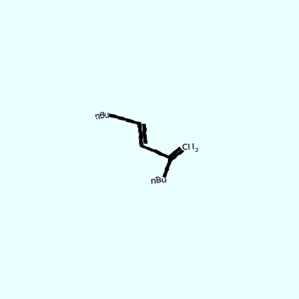 C=C(C=CCCCC)CCCC